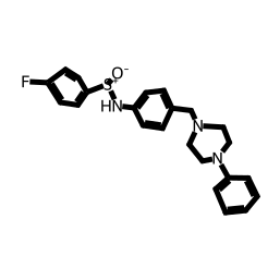 [O-][S+](Nc1ccc(CN2CCN(c3ccccc3)CC2)cc1)c1ccc(F)cc1